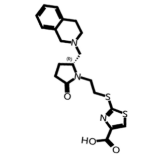 O=C(O)c1csc(SCCN2C(=O)CC[C@@H]2CN2CCc3ccccc3C2)n1